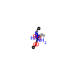 CCCN1C(=O)[C@@H](C(N)CCCC(=O)OCc2ccccc2)NC(=O)C12CCN(CCCc1ccccc1)CC2